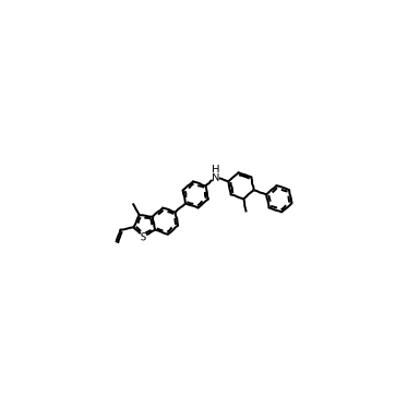 C=Cc1sc2ccc(-c3ccc(NC4=CC(C)C(c5ccccc5)C=C4)cc3)cc2c1C